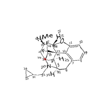 CN[C@@H]1CC[C@@H]2[C@H]3Cc4cccc5c4[C@]2([C@H]1O5)C(F)(F)CN3CC1CC1